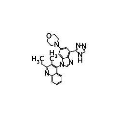 CCc1nc2ccccc2c(-n2cnc3c(-c4nnc[nH]4)cc(N4CCOCC4)cc32)c1C